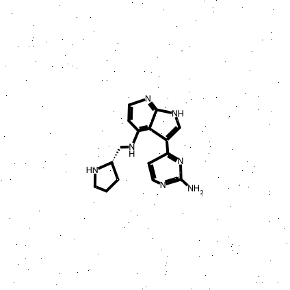 Nc1nccc(-c2c[nH]c3nccc(NC[C@@H]4CCCN4)c23)n1